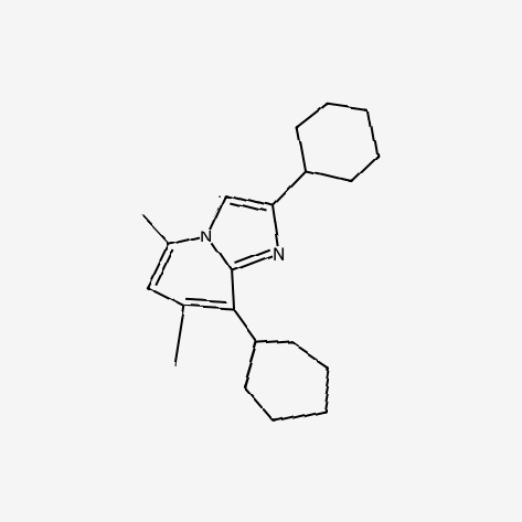 Cc1cc(C)n2[c]c(C3CCCCC3)nc2c1C1CCCCC1